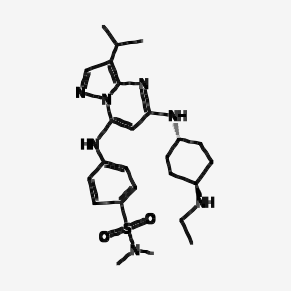 CCN[C@H]1CC[C@H](Nc2cc(Nc3ccc(S(=O)(=O)N(C)C)cc3)n3ncc(C(C)C)c3n2)CC1